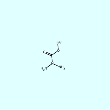 CCCOC(=O)N(N)N